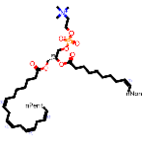 CCCCC/C=C\C/C=C\C/C=C\C/C=C\CCCCCC(=O)OC[C@H](COP(=O)([O-])OCC[N+](C)(C)C)OC(=O)CCCCCCC/C=C\CCCCCCCCC